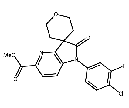 COC(=O)c1ccc2c(n1)C1(CCOCC1)C(=O)N2c1ccc(Cl)c(F)c1